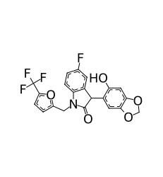 O=C1C(c2cc3c(cc2O)OCO3)c2cc(F)ccc2N1Cc1ccc(C(F)(F)F)o1